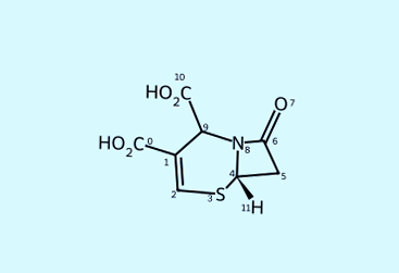 O=C(O)C1=CS[C@H]2CC(=O)N2C1C(=O)O